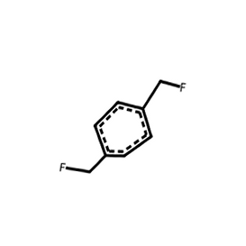 FCc1ccc(CF)cc1